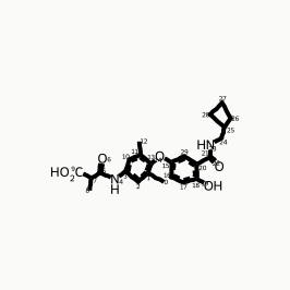 Cc1cc(NC(=O)C(C)C(=O)O)cc(C)c1Oc1ccc(O)c(C(=O)NCC2CCC2)c1